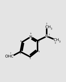 CN(C)c1ccc(C=O)cn1